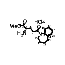 COC(=O)[C@@H](N)CCC(=O)N1CCCCc2ccccc21.Cl